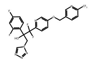 OC(Cn1cnnn1)(c1ccc(F)cc1F)C(F)(F)c1ccc(OCc2ccc(C(F)(F)F)nc2)cn1